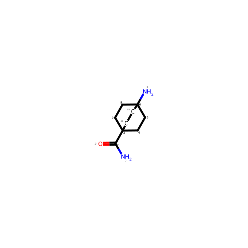 NC(=O)C12CCC(N)(CC1)CC2